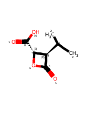 CC(C)[C@H]1C(=O)O[C@@H]1C(=O)O